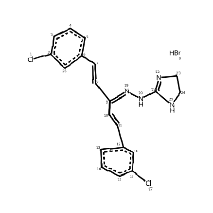 Br.Clc1cccc(C=CC(C=Cc2cccc(Cl)c2)=NNC2=NCCN2)c1